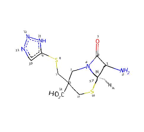 NC1C(=O)N2CC(CSc3cnn[nH]3)(C(=O)O)CS[C@H]12